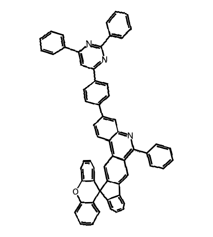 c1ccc(-c2cc(-c3ccc(-c4ccc5c(c4)nc(-c4ccccc4)c4cc6c(cc45)C4(c5ccccc5Oc5ccccc54)c4ccccc4-6)cc3)nc(-c3ccccc3)n2)cc1